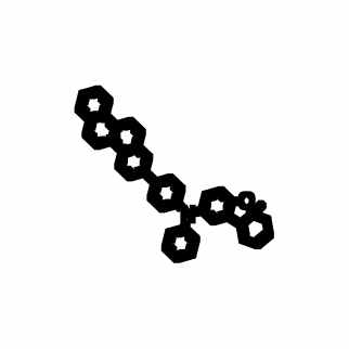 CC12CC=CC=C1c1cc(N(c3ccccc3)c3ccc(-c4ccc5c(ccc6c7ccccc7ccc56)c4)cc3)ccc1O2